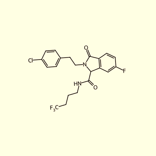 O=C(NCCCC(F)(F)F)C1c2cc(F)ccc2C(=O)N1CCc1ccc(Cl)cc1